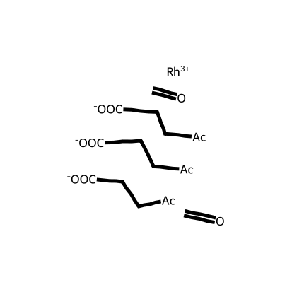 C=O.C=O.CC(=O)CCC(=O)[O-].CC(=O)CCC(=O)[O-].CC(=O)CCC(=O)[O-].[Rh+3]